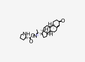 C/C(=N\OC(=O)[C@@H]1CCCN1)[C@H]1CC[C@H]2[C@@H]3CCC4=CC(=O)CC[C@]4(C)[C@H]3CC[C@]12C